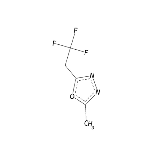 Cc1nnc(CC(F)(F)F)o1